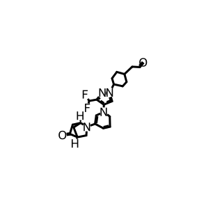 O=CCC1CCC(n2cc(N3C=C(N4C[C@H]5C[C@@H]4CC5=O)C=CC3)c(C(F)F)n2)CC1